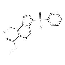 COC(=O)c1ncc2c(ccn2S(=O)(=O)c2ccccc2)c1CBr